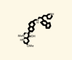 CNC[C@@H](c1ccc2cc(CNCC(CC3CCCNC3)c3ccc4ccccc4c3)ccc2c1)[C@@H](O)C1CNCC(OC)C1